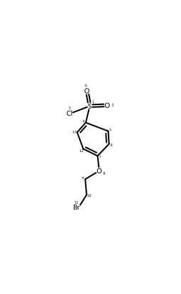 O=S(=O)(Cl)c1ccc(OCCBr)cc1